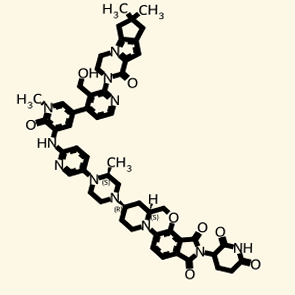 C[C@H]1CN([C@@H]2CCN3c4ccc5c(c4OC[C@@H]3C2)C(=O)N(C2CCC(=O)NC2=O)C5=O)CCN1c1ccc(Nc2cc(-c3ccnc(N4CCn5c(cc6c5CC(C)(C)C6)C4=O)c3CO)cn(C)c2=O)nc1